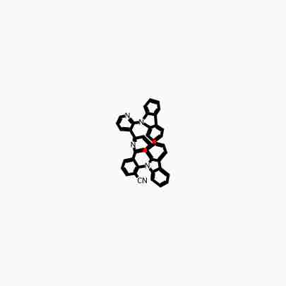 N#Cc1cccc(-c2cccc(-c3cccnc3-n3c4ccccc4c4ccccc43)n2)c1-n1c2ccccc2c2ccccc21